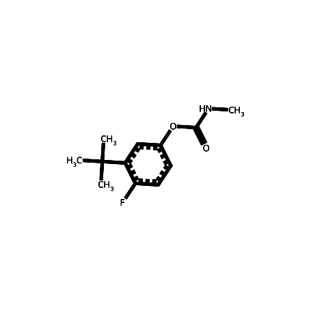 CNC(=O)Oc1ccc(F)c(C(C)(C)C)c1